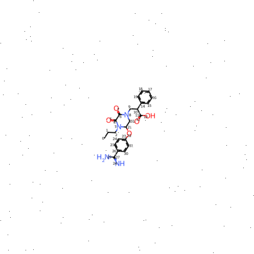 CCCN1C(=O)C(=O)N(CC(C(=O)O)c2ccccc2)CC1Oc1ccc(C(=N)N)cc1